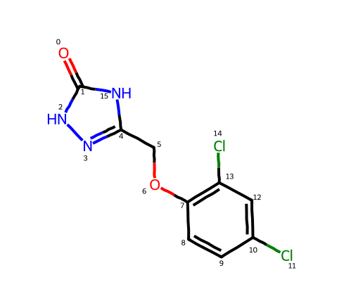 O=c1[nH]nc(COc2ccc(Cl)cc2Cl)[nH]1